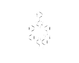 Cc1cc(-c2ccccc2)nc2c1ccc1ccc(-c3cccc(-c4nc(-c5ccccc5)nc(-c5ccccc5)n4)c3)nc12